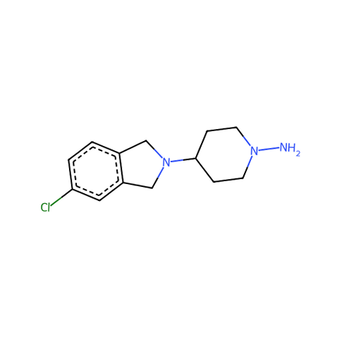 NN1CCC(N2Cc3ccc(Cl)cc3C2)CC1